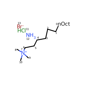 CCCCCCCCCCCCCC[N+](C)(C)C.Cl.N.[Br-]